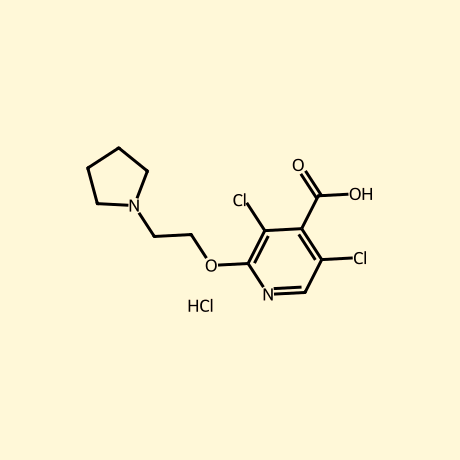 Cl.O=C(O)c1c(Cl)cnc(OCCN2CCCC2)c1Cl